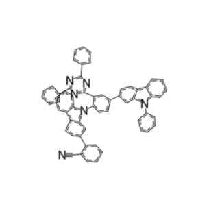 N#Cc1ccccc1-c1ccc2c3ccccc3n(-c3ccc(-c4ccc5c6ccccc6n(-c6ccccc6)c5c4)cc3-c3nc(-c4ccccc4)nc(-c4ccccc4)n3)c2c1